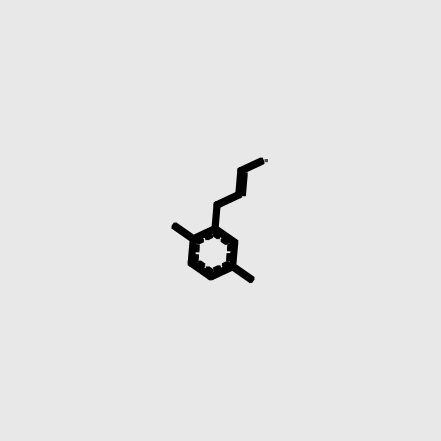 [CH2]C=CCc1cc(C)ccc1C